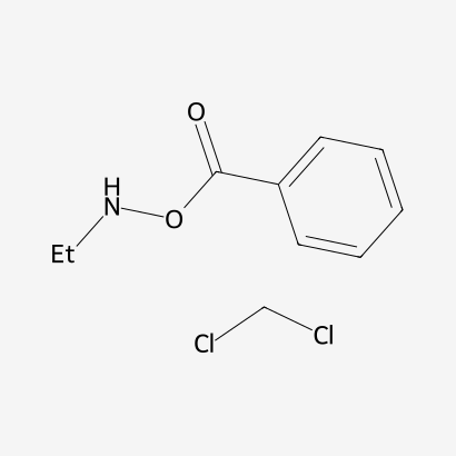 CCNOC(=O)c1ccccc1.ClCCl